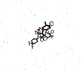 Cc1ccc(N(C(=O)[C@H](F)Cl)[C@](C)(C(=O)NC2CCC(F)(F)CC2)c2cncnc2)cc1Cl